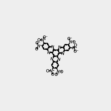 O=[N+]([O-])c1cc2nc3c4nc5cc([N+](=O)[O-])c([N+](=O)[O-])cc5nc4c4nc5cc([N+](=O)[O-])c([N+](=O)[O-])cc5nc4c3nc2cc1[N+](=O)[O-]